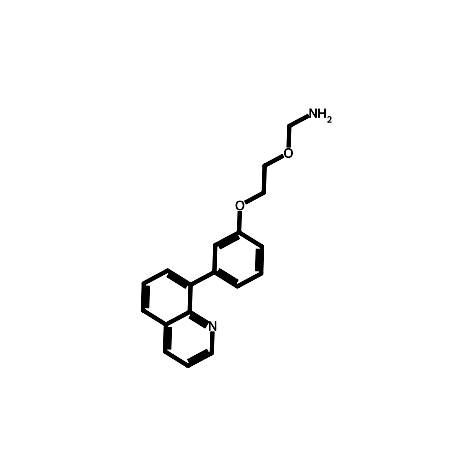 NCOCCOc1cccc(-c2cccc3cccnc23)c1